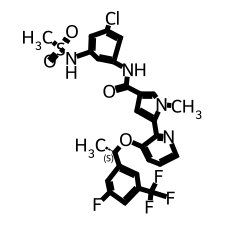 C[C@H](Oc1cccnc1-c1cc(C(=O)Nc2cc(Cl)cc(NS(C)(=O)=O)c2)cn1C)c1cc(F)cc(C(F)(F)F)c1